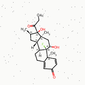 CC(=O)OCC(=O)[C@@]1(O)[C@H](C)C[C@H]2[C@@H]3CCC4=CC(=O)C=C[C@]4(C)[C@@]3(F)[C@H](O)C[C@@]21C